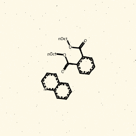 CCCCCCCCOC(=O)c1ccccc1C(=O)OCCCCCCCC.c1ccc2ncccc2c1